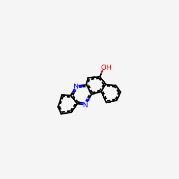 Oc1cc2nc3ccccc3nc2c2ccccc12